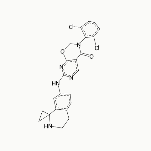 O=C1c2cnc(Nc3ccc4c(c3)C3(CC3)NCC4)nc2OCN1c1c(Cl)cccc1Cl